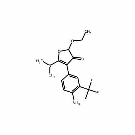 CCOC1OC(N(C)C)=C(c2ccc(C)c(C(F)(F)F)c2)C1=O